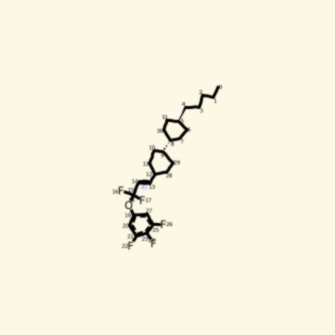 CCCCC[C@H]1CC[C@H](C2CCC(/C=C/C(F)(F)Oc3cc(F)c(F)c(F)c3)CC2)CC1